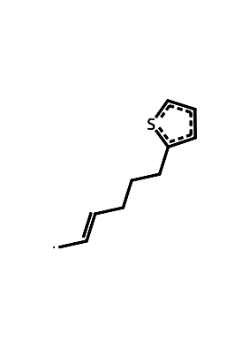 [CH2]C=CCCCc1cccs1